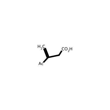 C=C(CC(=O)O)C(C)=O